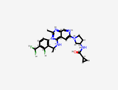 Cc1nc(NC(C)c2cccc(C(F)F)c2F)c2cc(N3CC[C@@H](NC(=O)C4CC4)C3)ncc2n1